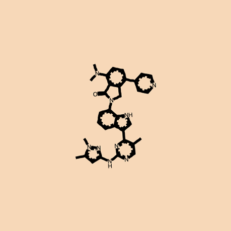 Cc1cnc(Nc2cc(C)n(C)n2)nc1-c1c[nH]c2c(N3Cc4c(-c5ccncc5)ccc(N(C)C)c4C3=O)cccc12